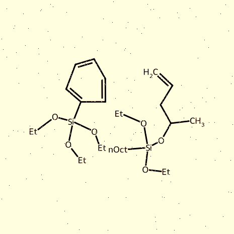 C=CCC(C)O[Si](CCCCCCCC)(OCC)OCC.CCO[Si](OCC)(OCC)c1ccccc1